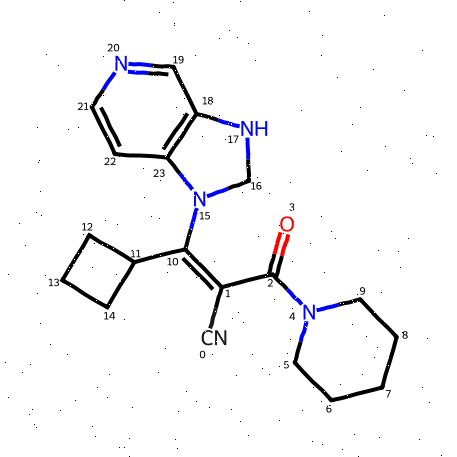 N#CC(C(=O)N1CCCCC1)=C(C1CCC1)N1CNc2cnccc21